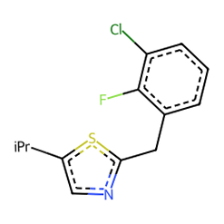 CC(C)c1cnc(Cc2cccc(Cl)c2F)s1